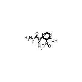 NNC(=O)N(N)c1ncnc(O)c1[N+](=O)[O-]